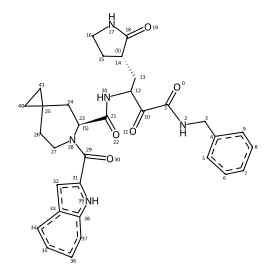 O=C(NCc1ccccc1)C(=O)C(C[C@@H]1CCNC1=O)NC(=O)[C@@H]1CC2(CCN1C(=O)c1cc3ccccc3[nH]1)CC2